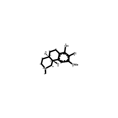 CCc1c(OC)cc2c(c1O)CC[C@@H]1CCN(C)C[C@@H]21